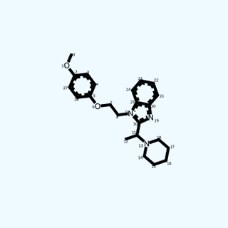 COc1ccc(OCCn2c(C(C)N3CCCCC3)nc3ccccc32)cc1